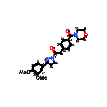 COc1ccc(C2=NN(C(=O)Cc3ccc(C(=O)N4CCOCC4)cc3)CC2)cc1OC